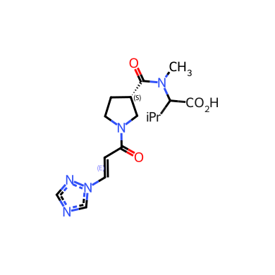 CC(C)C(C(=O)O)N(C)C(=O)[C@H]1CCN(C(=O)/C=C/n2cncn2)C1